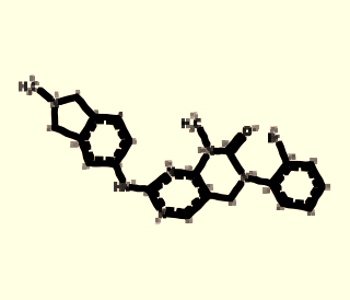 CN1Cc2ccc(Nc3ncc4c(n3)N(C)C(=O)N(c3ccccc3Br)C4)cc2C1